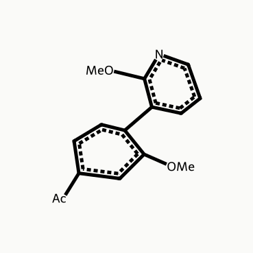 COc1cc(C(C)=O)ccc1-c1cccnc1OC